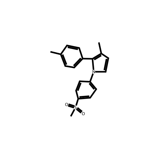 Cc1ccc(-c2c(C)ccn2-c2ccc(S(C)(=O)=O)cc2)cc1